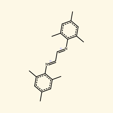 Cc1cc(C)c(/N=C/C=N/c2c(C)cc(C)cc2C)c(C)c1